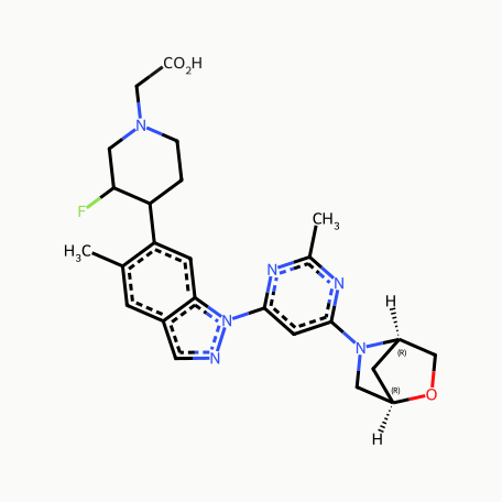 Cc1nc(N2C[C@H]3C[C@@H]2CO3)cc(-n2ncc3cc(C)c(C4CCN(CC(=O)O)CC4F)cc32)n1